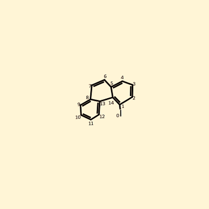 Ic1cccc2ccc3ccccc3c12